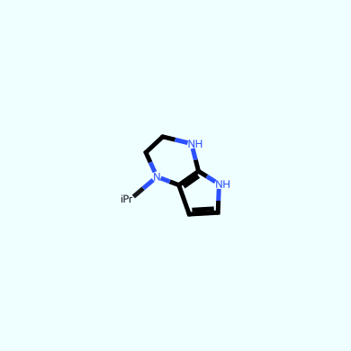 CC(C)N1CCNc2[nH]ccc21